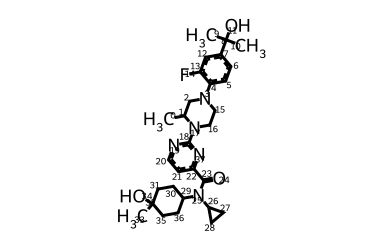 CC1CN(c2ccc(C(C)(C)O)cc2F)CCN1c1nccc(C(=O)N(C2CC2)C2CCC(C)(O)CC2)n1